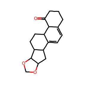 O=C1CCCC2=CC=C3C(CCC4C3CC3OCOC34)C12